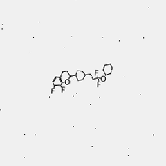 Fc1ccc2c(c1F)OC(C1CCC(CCC(F)(F)OC3CCCCC3)CC1)CC2